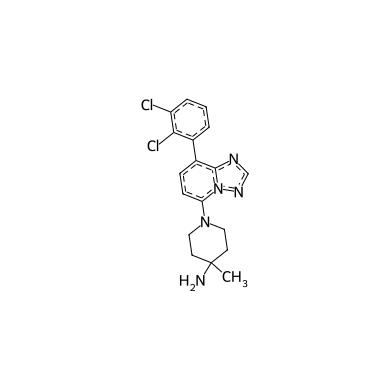 CC1(N)CCN(c2ccc(-c3cccc(Cl)c3Cl)c3ncnn23)CC1